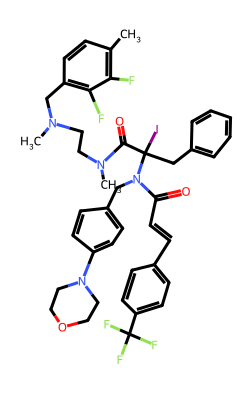 Cc1ccc(CN(C)CCN(C)C(=O)C(I)(Cc2ccccc2)N(Cc2ccc(N3CCOCC3)cc2)C(=O)C=Cc2ccc(C(F)(F)F)cc2)c(F)c1F